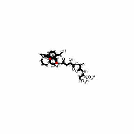 C[C@H](OC(=O)[C@@H](O)CC(=O)OC1=CC[C@@]2(O)[C@H]3Cc4ccc(CO)c5c4[C@@]2(CCCN3C)[C@H]1O5)C(=O)N[C@H](CC(=O)O)C(=O)O